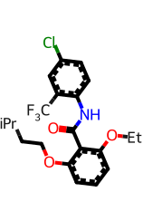 CCOc1cccc(OCCC(C)C)c1C(=O)Nc1ccc(Cl)cc1C(F)(F)F